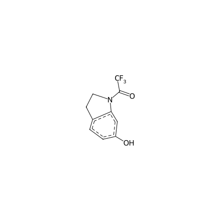 O=C(N1CCc2ccc(O)cc21)C(F)(F)F